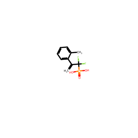 C=C(c1ccccc1C)C(F)(F)P(=O)(O)O